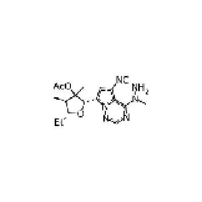 [C-]#[N+]c1cc([C@@H]2O[C@H](CC)[C@@H](C)[C@@]2(C)OC(C)=O)n2ncnc(N(C)N)c12